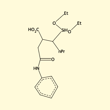 CCCC(C(CC(=O)Nc1ccccc1)C(=O)O)[SiH](OCC)OCC